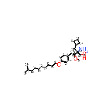 CO[C@@H](Cc1ccc(OCCCCCCCCC(C)C)cc1)C(N)(CO)CC1CCC1